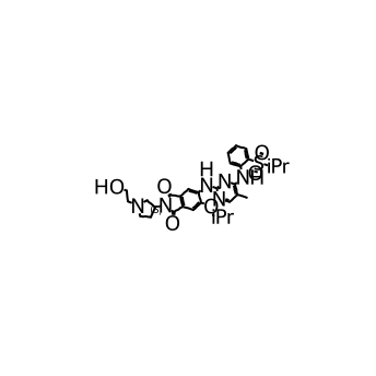 Cc1cnc(Nc2cc3c(cc2OC(C)C)C(=O)N([C@H]2CCN(CCO)C2)C3=O)nc1Nc1ccccc1S(=O)(=O)C(C)C